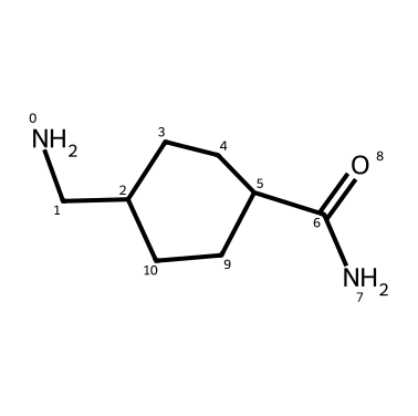 NCC1CCC(C(N)=O)CC1